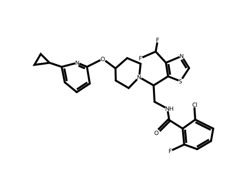 O=C(NCC(c1scnc1C(F)F)N1CCC(Oc2cccc(C3CC3)n2)CC1)c1c(F)cccc1Cl